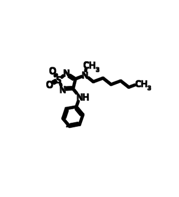 CCCCCCN(C)C1=NS(=O)(=O)N=C1Nc1cc[c]cc1